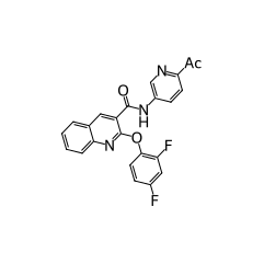 CC(=O)c1ccc(NC(=O)c2cc3ccccc3nc2Oc2ccc(F)cc2F)cn1